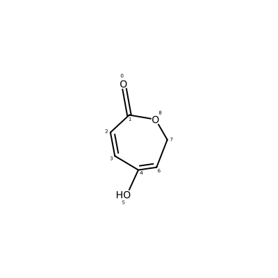 O=C1C=CC(O)=CCO1